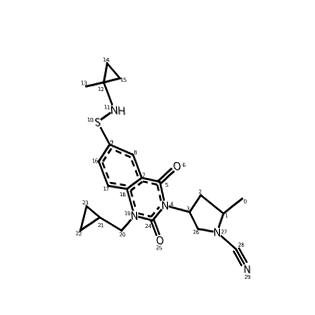 CC1CC(n2c(=O)c3cc(SNC4(C)CC4)ccc3n(CC3CC3)c2=O)CN1C#N